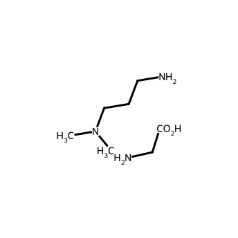 CN(C)CCCN.NCC(=O)O